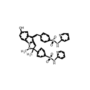 CN1n2c(/c(=C\c3ccc(S(=O)(=O)Nc4ccccn4)cc3)c3cc(O)ccc32)=CC1(C)c1ccc(S(=O)(=O)Nc2ccccn2)cc1